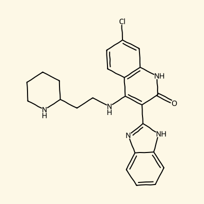 O=c1[nH]c2cc(Cl)ccc2c(NCCC2CCCCN2)c1-c1nc2ccccc2[nH]1